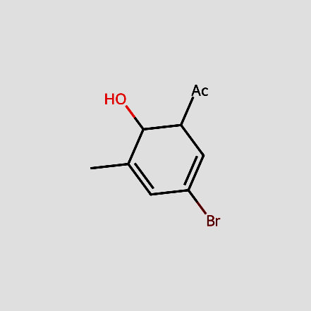 CC(=O)C1C=C(Br)C=C(C)C1O